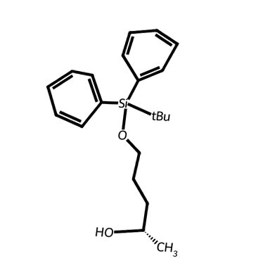 C[C@H](O)CCCO[Si](c1ccccc1)(c1ccccc1)C(C)(C)C